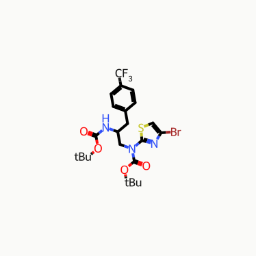 CC(C)(C)OC(=O)NC(Cc1ccc(C(F)(F)F)cc1)CN(C(=O)OC(C)(C)C)c1nc(Br)cs1